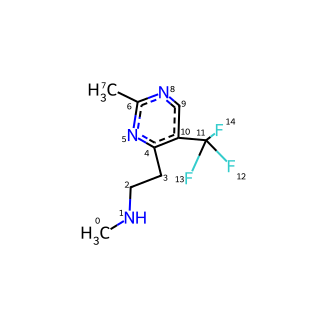 CNCCc1nc(C)ncc1C(F)(F)F